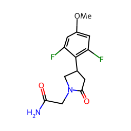 COc1cc(F)c(C2CC(=O)N(CC(N)=O)C2)c(F)c1